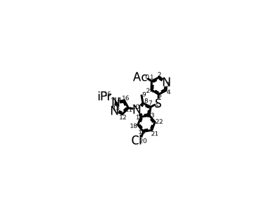 CC(=O)c1cncc(Sc2c(C)n(-c3cnn(C(C)C)c3)c3cc(Cl)ccc23)c1